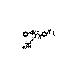 CN(C)c1ccc(C(=O)N[C@@H](CSCCCC(=O)NO)C(=O)NCc2ccccc2)cc1